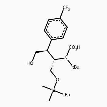 CC(C)(C)N(C(=O)O)[C@H](CO[Si](C)(C)C(C)(C)C)[C@@H](CO)c1ccc(C(F)(F)F)cc1